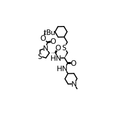 CN1CCC(NC(=O)[C@H](CSCC2CCCCC2)NC(=O)[C@@H]2CSCN2C(=O)OC(C)(C)C)CC1